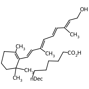 CC1=C(/C=C/C(C)=C/C=C/C(C)=C/CO)C(C)(C)CCC1.CCCCCCCCCCCCCCCC(=O)O